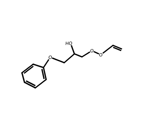 C=COOCC(O)COc1ccccc1